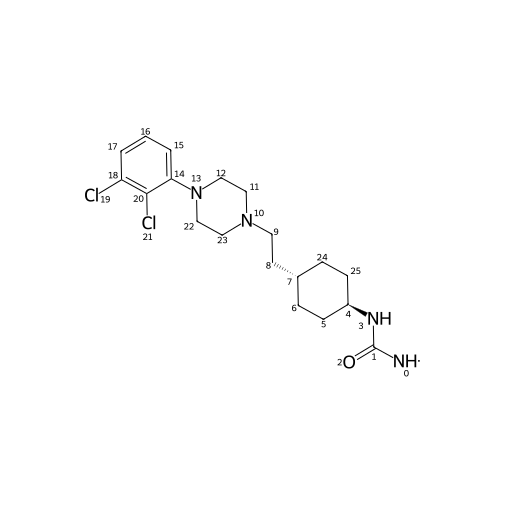 [NH]C(=O)N[C@H]1CC[C@H](CCN2CCN(c3cccc(Cl)c3Cl)CC2)CC1